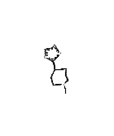 CN1CCC(c2ncns2)CC1